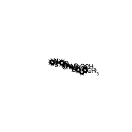 COc1ccc(/C=C\c2cc(C)c(C)c(OC)c2)cc1OCCCCOc1ccc(-c2nc3ccccc3s2)cc1C